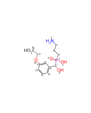 NCCCP(=O)(O)C(O)c1cccc(OCC(=O)O)c1